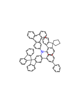 c1ccc(-c2cccc(-c3cc4c(cc3N(c3ccc5c6ccccc6c6ccccc6c5c3)c3cccc5c3-c3ccccc3C53CCCC3)C3(c5ccccc5-c5ccccc53)c3ccccc3-4)c2)cc1